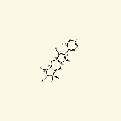 CN1C(=O)C(C)(C)c2cc3nc(-c4ccccn4)n(C)c3cc21